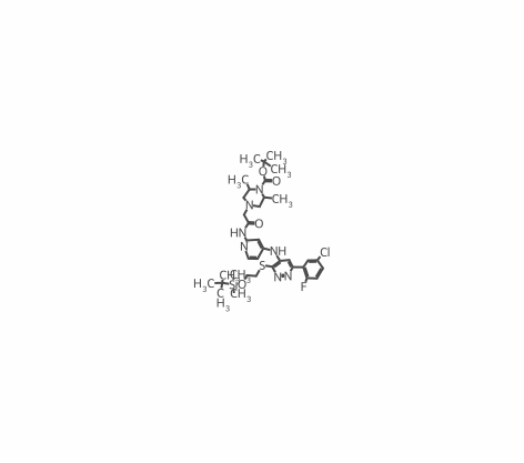 CC1CN(CC(=O)Nc2cc(Nc3cc(-c4cc(Cl)ccc4F)nnc3SCCO[Si](C)(C)C(C)(C)C)ccn2)CC(C)N1C(=O)OC(C)(C)C